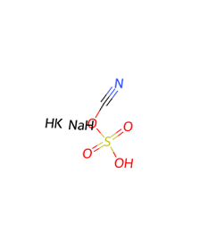 N#COS(=O)(=O)O.[KH].[NaH]